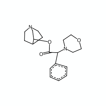 O=C(OC1CN2CCC1CC2)C(c1ccccc1)N1CCOCC1